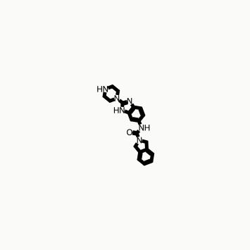 O=C(Nc1ccc2nc(N3CCNCC3)[nH]c2c1)N1Cc2ccccc2C1